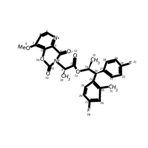 COc1ccnc2c(=O)n([C@@H](C)C(=O)O[C@@H](C)[C@@H](c3ccc(F)cc3)c3ccc(F)cc3C)c(=O)oc12